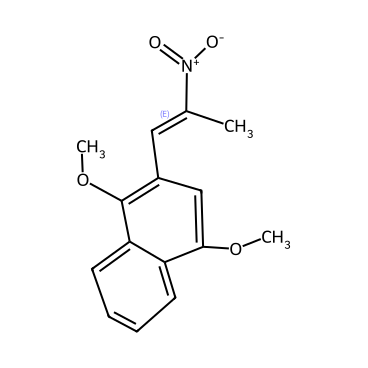 COc1cc(/C=C(\C)[N+](=O)[O-])c(OC)c2ccccc12